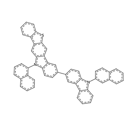 c1ccc2cc(-n3c4ccccc4c4cc(-c5ccc6c(c5)c5cc7sc8ccccc8c7cc5n6-c5cccc6ccccc56)ccc43)ccc2c1